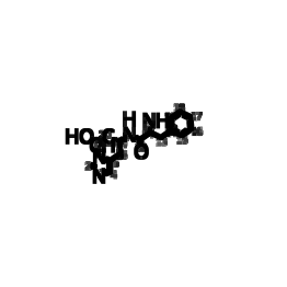 Cn1cncc1C[C@H](NC(=O)[C@@H](N)Cc1ccccc1)C(=O)O